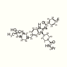 CC(C)NC(=O)[C@H]1CC[C@@H](n2/c(=N/C(=O)c3ccc(F)cc3)[nH]c3ccc(CN4CCN(CC(C)(C)O)CC4)cc32)CC1